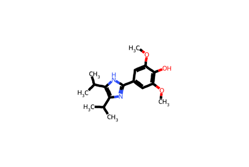 COc1cc(-c2nc(C(C)C)c(C(C)C)[nH]2)cc(OC)c1O